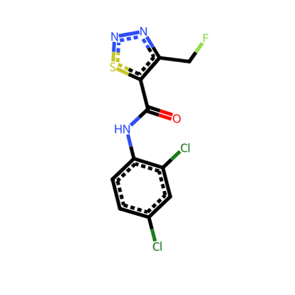 O=C(Nc1ccc(Cl)cc1Cl)c1snnc1CF